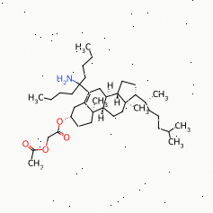 CCCCC(N)(CCCC)C1=C2C[C@@H](OC(=O)COC(C)=O)CC[C@]2(C)[C@H]2CC[C@]3(C)[C@@H]([C@H](C)CCCC(C)C)CC[C@H]3[C@@H]2C1